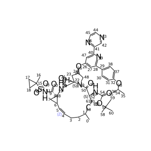 CC1CC/C=C\C2C[C@@]2(C(=O)NS(=O)(=O)C2(C)CC2)NC(=O)[C@@H]2C[C@@H](Oc3cc(-c4ccc(OC(C)C)cc4)nc(-c4cnccn4)c3)CN2C(=O)[C@@H](NC(=O)OC(C)(C)C)[C@H](C)C1